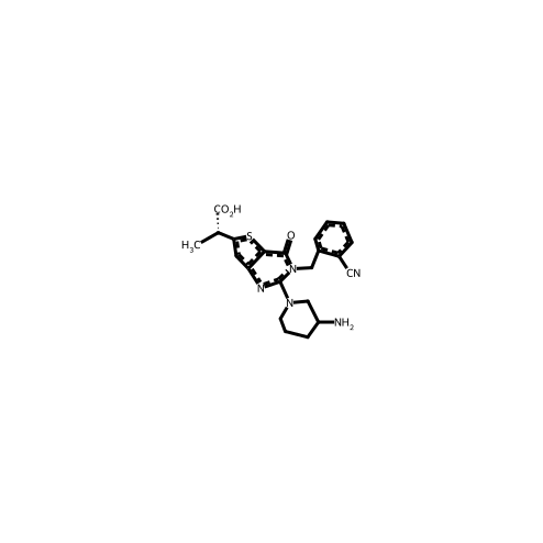 C[C@H](C(=O)O)c1cc2nc(N3CCCC(N)C3)n(Cc3ccccc3C#N)c(=O)c2s1